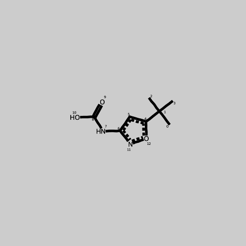 CC(C)(C)c1cc(NC(=O)O)no1